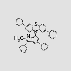 Cc1c(-c2ccccc2)c2cc(-c3ccccc3)cc3c2n1-c1cc(-c2ccccc2)cc2c1B3c1cc(-c3ccccc3)ccc1S2